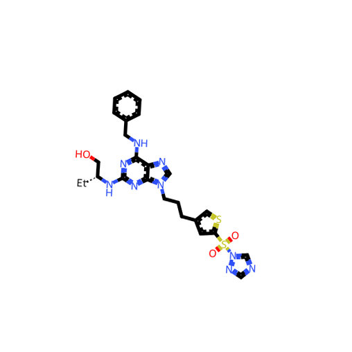 CC[C@H](CO)Nc1nc(NCc2ccccc2)c2ncn(CCCc3csc(S(=O)(=O)n4cncn4)c3)c2n1